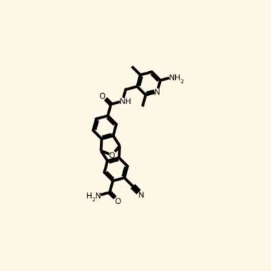 Cc1cc(N)nc(C)c1CNC(=O)c1ccc2c(c1)C1OC2c2cc(C(N)=O)c(C#N)cc21